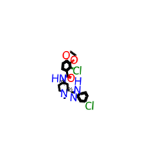 CN1CC[C@@H](NC(=O)c2ccc3c(c2Cl)OCCO3)C[C@@H]1c1nc2cc(Cl)ccc2[nH]1